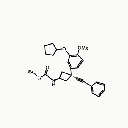 COc1ccc([C@]2(C#Cc3ccccc3)C[C@H](NC(=O)OC(C)(C)C)C2)cc1OC1CCCC1